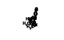 C[C@@H](Oc1nc(-c2ccc(N3CCN(C4COC4)CC3)nc2)cc2ncn(C)c12)C1CNC(=O)C1